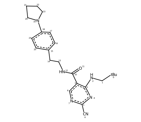 CC(C)(C)CNc1nc(C#N)ncc1C(=O)NCCc1ccc(N2CCCC2)cc1